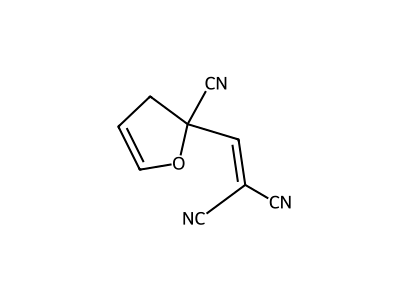 N#CC(C#N)=CC1(C#N)CC=CO1